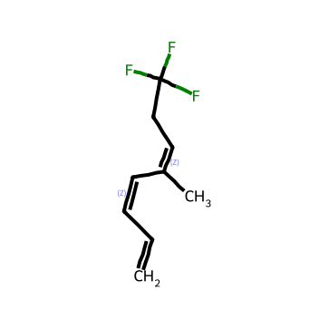 C=C/C=C\C(C)=C/CC(F)(F)F